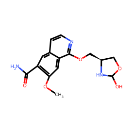 COc1cc2c(OC[C@H]3COC(O)N3)nccc2cc1C(N)=O